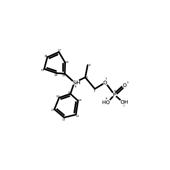 CC(COP(=O)(O)O)[SiH](c1ccccc1)c1ccccc1